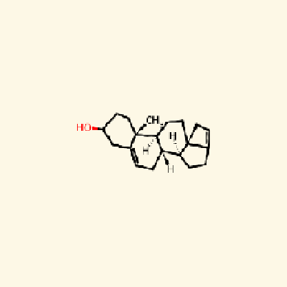 C[C@]12CC[C@H](O)CC1=CC[C@H]1[C@@H]3CCC4=CC[C@@]43CC[C@@H]12